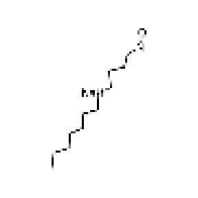 CCCCCCCCCCCCN=O.[NaH]